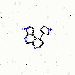 C1=C(c2ccnc3cnc4[nH]ccc4c23)CNC1